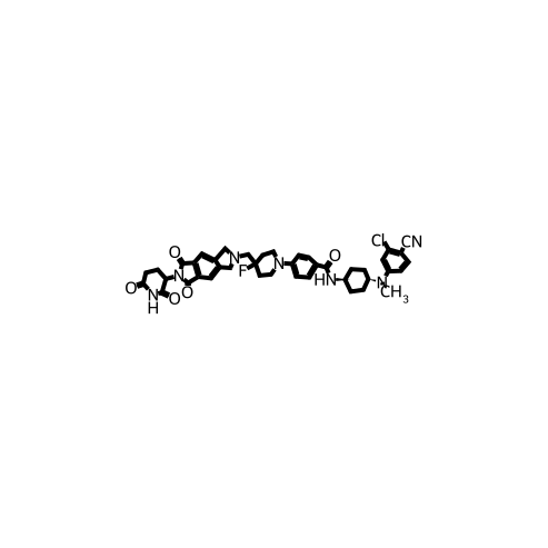 CN(c1ccc(C#N)c(Cl)c1)[C@H]1CC[C@H](NC(=O)c2ccc(N3CCC(F)(CN4Cc5cc6c(cc5C4)C(=O)N(C4CCC(=O)NC4=O)C6=O)CC3)cc2)CC1